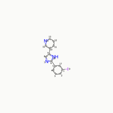 Ic1cccc(-c2ncc(-c3cccnc3)[nH]2)c1